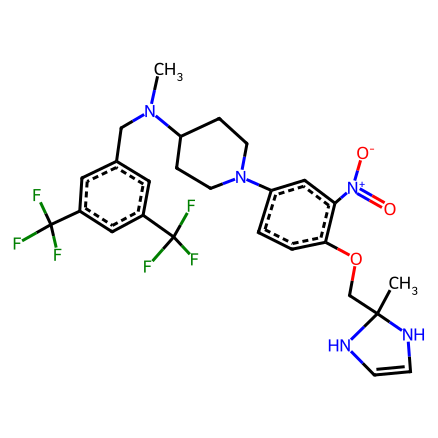 CN(Cc1cc(C(F)(F)F)cc(C(F)(F)F)c1)C1CCN(c2ccc(OCC3(C)NC=CN3)c([N+](=O)[O-])c2)CC1